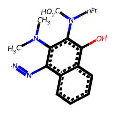 CCCN(C(=O)O)c1c(N(C)C)c(N=[N])c2ccccc2c1O